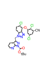 CC(C)(C)OC(=O)n1nc(Cn2nnc3c(Oc4cc(Cl)cc(C#N)c4Cl)c(Cl)ccc32)c2cccnc21